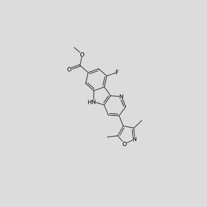 COC(=O)c1cc(F)c2c(c1)[nH]c1cc(-c3c(C)noc3C)cnc12